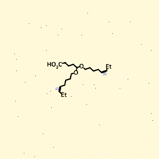 CC/C=C\CCCCOC(CCCC(=O)O)OCCCC/C=C\CC